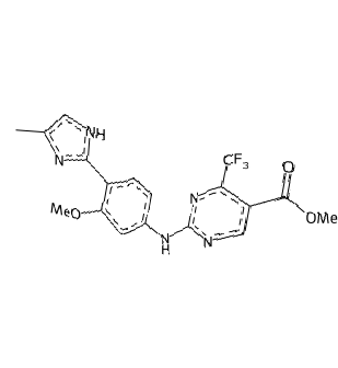 COC(=O)c1cnc(Nc2ccc(-c3nc(C)c[nH]3)c(OC)c2)nc1C(F)(F)F